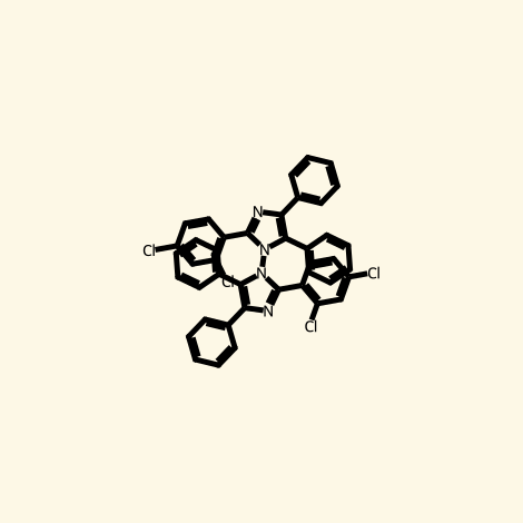 Clc1ccc(-c2nc(-c3ccccc3)c(-c3ccccc3)n2-n2c(-c3ccc(Cl)cc3Cl)nc(-c3ccccc3)c2-c2ccccc2)c(Cl)c1